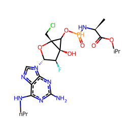 CCCNc1nc(N)nc2c1ncn2[C@@H]1O[C@]2(CCl)C(O[PH](=O)N[C@@H](C)C(=O)OC(C)C)[C@]2(O)[C@H]1F